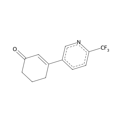 O=C1C=C(c2ccc(C(F)(F)F)nc2)CCC1